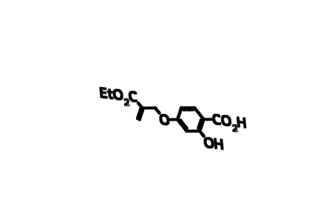 C=C(COc1ccc(C(=O)O)c(O)c1)C(=O)OCC